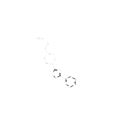 COCCN1CCN(c2nc(-c3ccc(C(=O)O)cc3)cs2)CC1